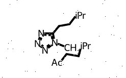 CC(=O)CCC(C)C.CC(C)CCc1nnnn1C